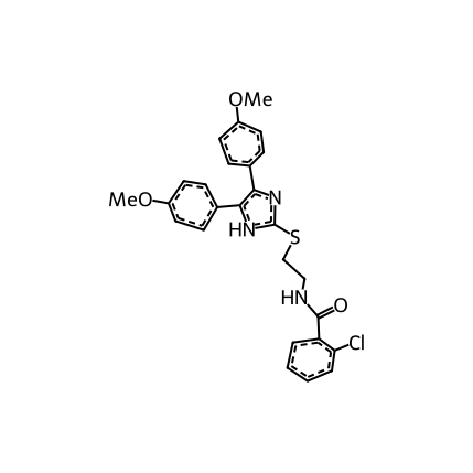 COc1ccc(-c2nc(SCCNC(=O)c3ccccc3Cl)[nH]c2-c2ccc(OC)cc2)cc1